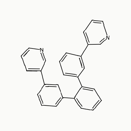 c1cncc(-c2cccc(-c3ccccc3-c3cccc(-c4cccnc4)c3)c2)c1